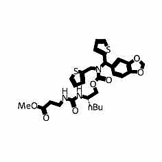 CCCC[C@@H](COC(=O)N(Cc1cccs1)C(c1ccc2c(c1)OCO2)c1cccs1)NC(=O)NCCC(=O)OC